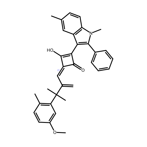 C=C(/C=C1\C(=O)C(c2c(-c3ccccc3)n(C)c3ccc(C)cc23)=C1O)C(C)(C)c1cc(OC)ccc1C